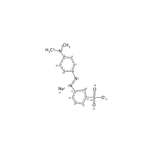 CN(C)c1ccc(N=Nc2cccc(S(=O)(=O)[O-])c2)cc1.[Na+]